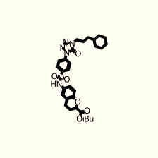 CC(C)COC(=O)C1CCc2cc(NS(=O)(=O)c3ccc(-n4nnn(CCCC5CCCCC5)c4=O)cc3)ccc2O1